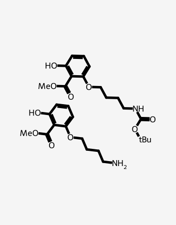 COC(=O)c1c(O)cccc1OCCCCN.COC(=O)c1c(O)cccc1OCCCCNC(=O)OC(C)(C)C